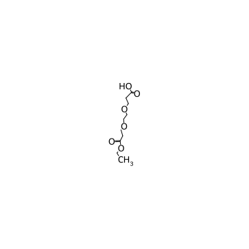 CCOC(=O)CCOCCOCCC(=O)O